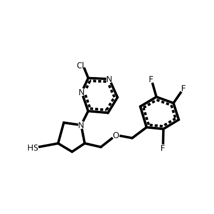 Fc1cc(F)c(COCC2CC(S)CN2c2ccnc(Cl)n2)cc1F